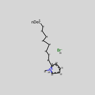 CCCCCCCCCCCCCCCCCCc1cccc[n+]1C.[Br-]